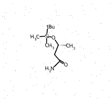 C[C@H](CC(N)=O)O[Si](C)(C)C(C)(C)C